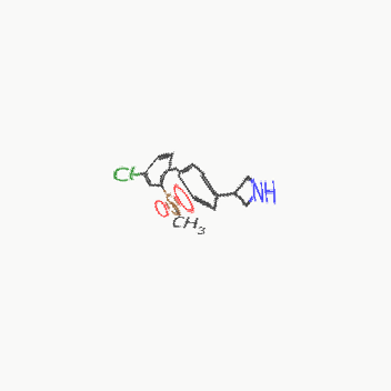 CS(=O)(=O)c1cc(Cl)ccc1-c1ccc(C2CNC2)cc1